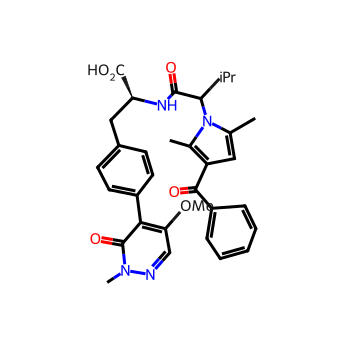 COc1cnn(C)c(=O)c1-c1ccc(C[C@H](NC(=O)C(C(C)C)n2c(C)cc(C(=O)c3ccccc3)c2C)C(=O)O)cc1